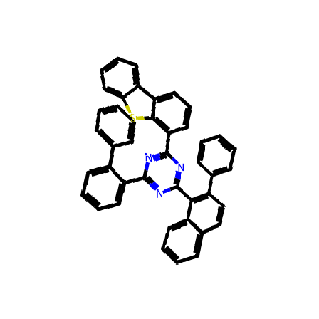 c1ccc(-c2ccccc2-c2nc(-c3c(-c4ccccc4)ccc4ccccc34)nc(-c3cccc4c3sc3ccccc34)n2)cc1